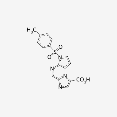 Cc1ccc(S(=O)(=O)n2ccc3c2ncc2ncc(C(=O)O)n23)cc1